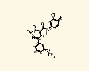 CN1C(C(=O)Nc2ccc(F)c(Cl)c2)=CC(c2cccc(OC(F)(F)F)c2)=N[S+]1[O-]